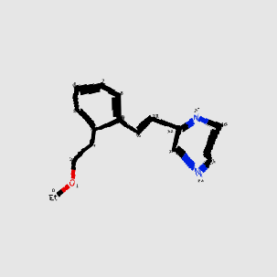 CCOCCc1c[c]ccc1C=Cc1cnccn1